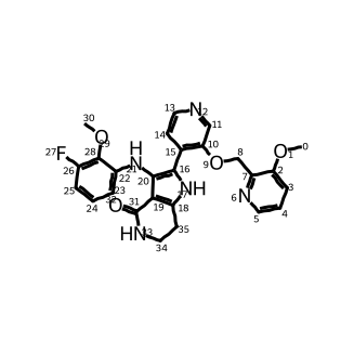 COc1cccnc1COc1cnccc1-c1[nH]c2c(c1Nc1cccc(F)c1OC)C(=O)NCC2